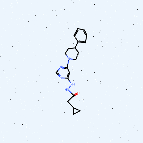 O=C(CC1CC1)NNc1cc(N2CCC(c3ccccc3)CC2)ncn1